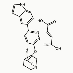 O=C(O)C=CC(=O)O.c1cc2cc(-c3ccc(O[C@H]4CN5CCC4CC5)nn3)ccc2[nH]1